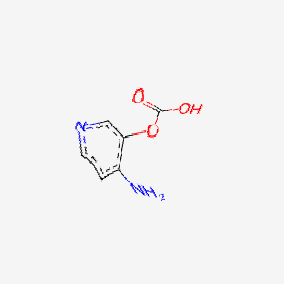 Nc1ccncc1OC(=O)O